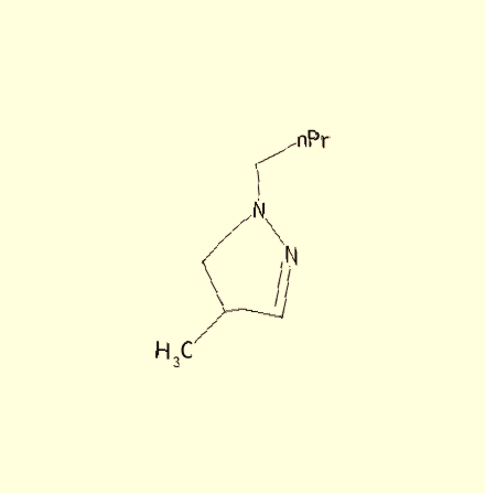 CCCCN1CC(C)C=N1